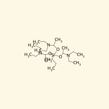 CCC(Cl)[Si](OC(C)N(CC)CC)(OC(C)N(CC)CC)OC(C)N(CC)CC